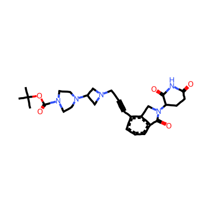 CC(C)(C)OC(=O)N1CCN(C2CN(CC#Cc3cccc4c3CN(C3CCC(=O)NC3=O)C4=O)C2)CC1